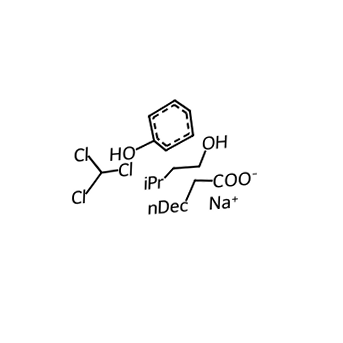 CC(C)CCO.CCCCCCCCCCCC(=O)[O-].ClC(Cl)Cl.Oc1ccccc1.[Na+]